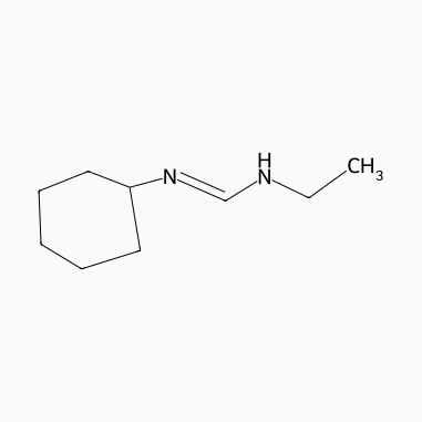 CCN/C=N/C1CCCCC1